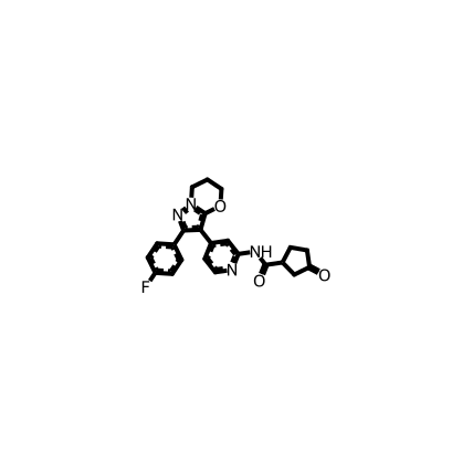 O=C1CCC(C(=O)Nc2cc(-c3c(-c4ccc(F)cc4)nn4c3OCCC4)ccn2)C1